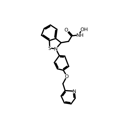 O=C(CC1c2ccccc2SN1c1ccc(OCc2ccccn2)cc1)NO